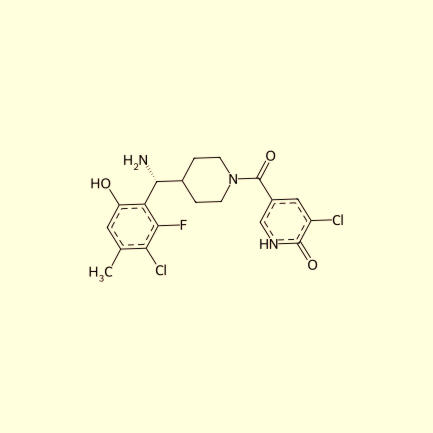 Cc1cc(O)c([C@H](N)C2CCN(C(=O)c3c[nH]c(=O)c(Cl)c3)CC2)c(F)c1Cl